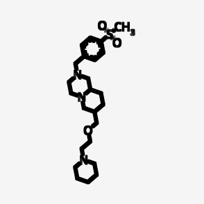 CS(=O)(=O)c1ccc(CN2CCN3CC(COCCN4CCCCC4)CCC3C2)cc1